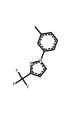 Cc1cccc(-n2ccc(C(F)(F)F)n2)c1